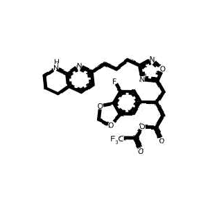 O=C(CC(Cc1nc(CCCc2ccc3c(n2)NCCC3)no1)c1cc(F)c2c(c1)OCO2)OC(=O)C(F)(F)F